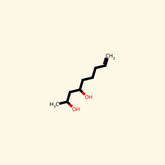 C=CCCCC(O)CC(C)O